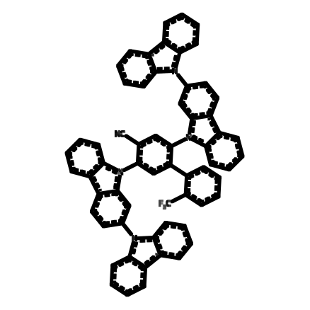 N#Cc1cc(-n2c3ccccc3c3ccc(-n4c5ccccc5c5ccccc54)cc32)c(-c2ccccc2C(F)(F)F)cc1-n1c2ccccc2c2ccc(-n3c4ccccc4c4ccccc43)cc21